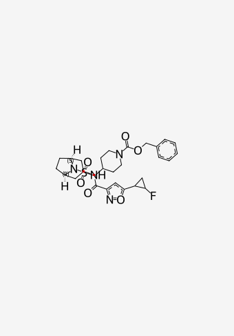 O=C(NC1C[C@H]2CC[C@@H](C1)N2S(=O)(=O)CC1CCN(C(=O)OCc2ccccc2)CC1)c1cc(C2CC2F)on1